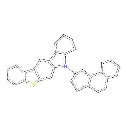 c1ccc2c(c1)ccc1ccc(-n3c4ccccc4c4cc5c(cc43)sc3ccccc35)cc12